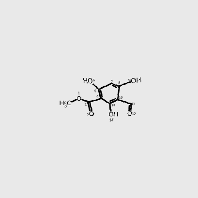 COC(=O)c1c(O)cc(O)c(C=O)c1O